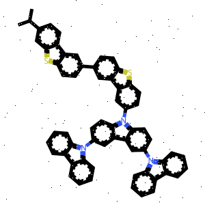 CC(C)c1ccc2c(c1)sc1ccc(-c3ccc4sc5ccc(-n6c7ccc(-n8c9ccccc9c9ccccc98)cc7c7cc(-n8c9ccccc9c9ccccc98)ccc76)cc5c4c3)cc12